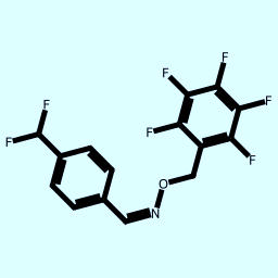 Fc1c(F)c(F)c(CO/N=[C]\c2ccc(C(F)F)cc2)c(F)c1F